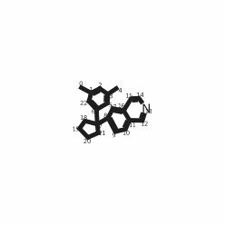 Cc1cc(C)cc(C2(c3ccc4cnccc4c3)CCCC2)c1